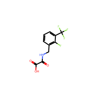 O=C(O)C(=O)NCc1cccc(C(F)(F)F)c1F